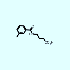 Cc1cccc(C(=O)NCCCC(=O)O)c1